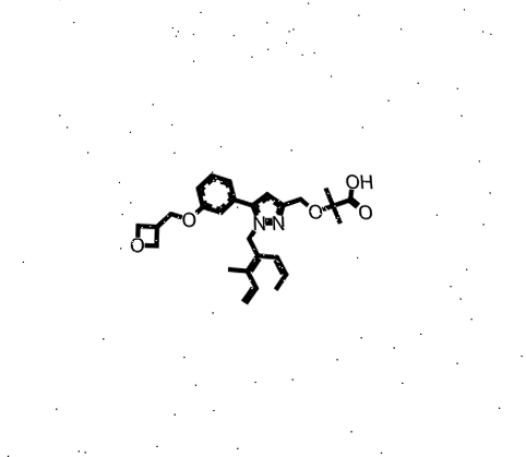 C=C/C(C)=C(\C=C/C)Cn1nc(COC(C)(C)C(=O)O)cc1-c1cccc(OCC2COC2)c1